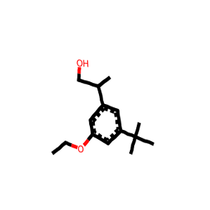 CCOc1cc([C](C)CO)cc(C(C)(C)C)c1